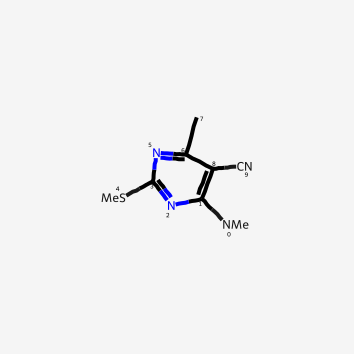 CNc1nc(SC)nc(C)c1C#N